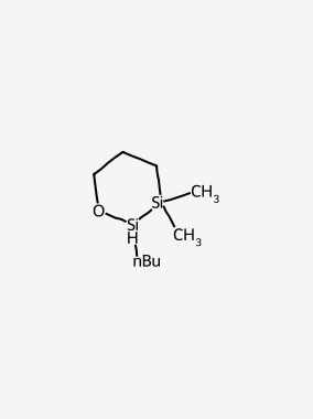 CCCC[SiH]1OCCC[Si]1(C)C